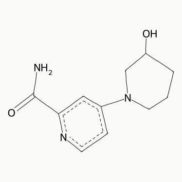 NC(=O)c1cc(N2CCCC(O)C2)ccn1